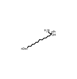 CCCCCCCCCCCCCCCCCCCCCCC(O)(CN)CCC